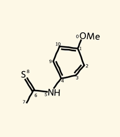 COc1ccc(NC(C)=S)cc1